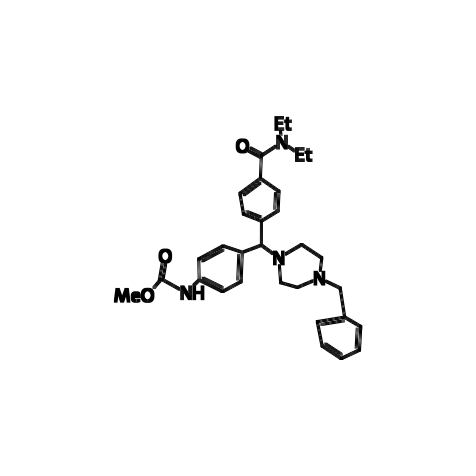 CCN(CC)C(=O)c1ccc(C(c2ccc(NC(=O)OC)cc2)N2CCN(Cc3ccccc3)CC2)cc1